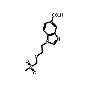 CS(=O)(=O)COCCn1cnc2cc(C(=O)O)ccc21